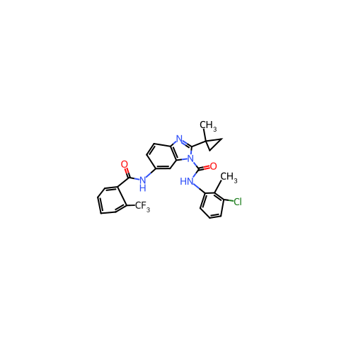 Cc1c(Cl)cccc1NC(=O)n1c(C2(C)CC2)nc2ccc(NC(=O)c3ccccc3C(F)(F)F)cc21